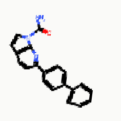 NC(=O)n1ccc2ccc(-c3ccc(-c4ccccc4)cc3)nc21